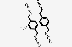 O.O=C=NCc1ccc(CN=C=O)cc1.O=C=NCc1ccc(CN=C=O)cc1